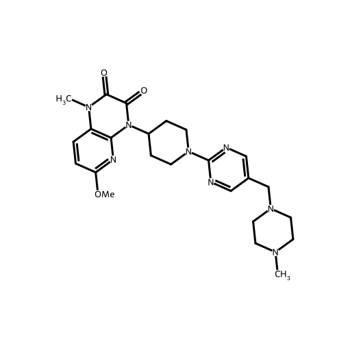 COc1ccc2c(n1)n(C1CCN(c3ncc(CN4CCN(C)CC4)cn3)CC1)c(=O)c(=O)n2C